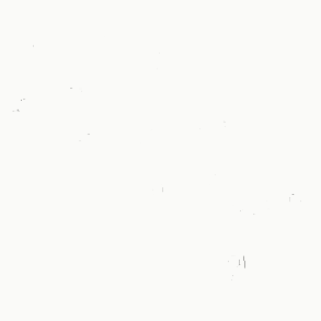 O=C(O)C1C=C2C=CC3(C=C2O1)CC3